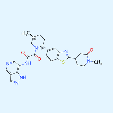 C[C@H]1CC[C@H](c2ccc3sc(C4CCN(C)C(=O)C4)nc3c2)N(C(=O)C(=O)Nc2cncc3cn[nH]c23)C1